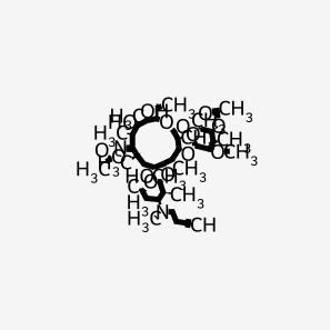 C#CCCN(C)[C@H]1C[C@@H](C)O[C@@H](OC2[C@@H](C)[C@H](OC3C[C@@](C)(OC)[C@@H](OC(C)=O)C(C)O3)[C@@H](C)C(=O)O[C@H](CC)[C@@](C)(O)[C@H](O)[C@@H](C)/C(=N/OC(C)=O)[C@H](C)C[C@@]2(C)O)[C@@H]1C